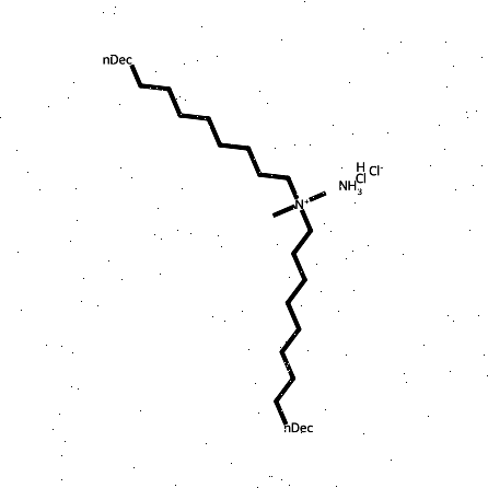 CCCCCCCCCCCCCCCCCC[N+](C)(C)CCCCCCCCCCCCCCCCCC.Cl.N.[Cl-]